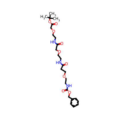 CC(C)(C)OC(=O)COCCNC(=O)COCCNC(=O)CCOCCNC(=O)OCc1ccccc1